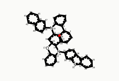 c1ccc(-c2ccccc2N(c2ccc3c(c2)Oc2ccccc2N3c2ccc3c(c2)sc2ccccc23)c2ccc3ccccc3c2)cc1